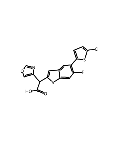 O=C(O)C(c1cocn1)c1cc2cc(-c3ccc(Cl)s3)c(F)cc2s1